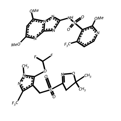 COc1cc(OC)n2nc(NS(=O)(=O)c3c(C(F)(F)F)ccnc3OC)nc2n1.Cn1nc(C(F)(F)F)c(CS(=O)(=O)C2=NOC(C)(C)C2)c1OC(F)F